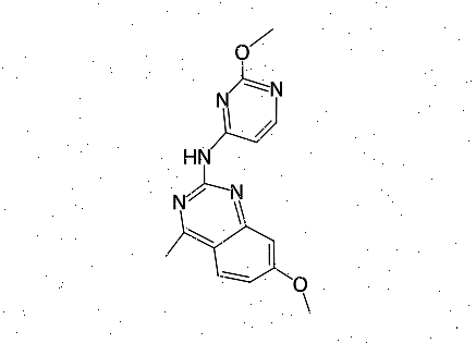 COc1ccc2c(C)nc(Nc3ccnc(OC)n3)nc2c1